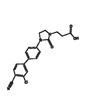 N#Cc1ccc(-c2ccc(N3CCN(CCC(=O)O)C3=O)cc2)cc1Cl